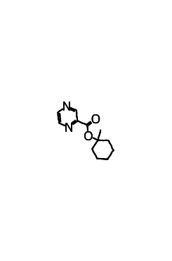 CC1(OC(=O)c2cnccn2)CCCCC1